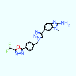 Cn1c(N)nc2ccc(-c3cn(Cc4ccc(-c5nnc(C(F)F)o5)cc4)nn3)cc21